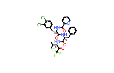 CC(C)[C@H](NC(=O)[C@H](Cc1ccccc1)NC(=O)[C@H](Cc1ccc(Cl)c(Cl)c1)NC(=O)c1ccccn1)C(=O)C(F)(F)F